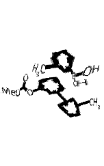 COC(=O)Oc1cccc(-c2cccc(C)c2)c1.Cc1cccc(B(O)O)c1